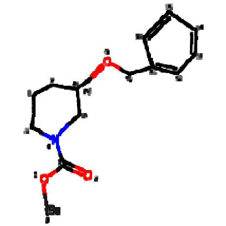 CC(C)(C)OC(=O)N1CCC[C@@H](OCc2ccccc2)C1